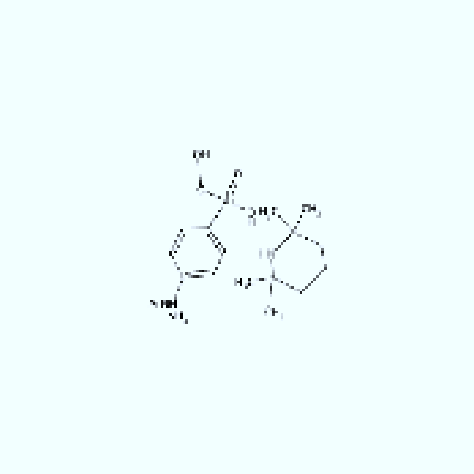 CC(=O)Nc1ccc([As](=O)(O)OO)cc1.CC1(C)CCCC(C)(C)N1.N